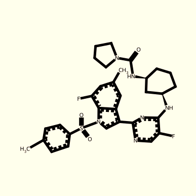 Cc1ccc(S(=O)(=O)n2cc(-c3ncc(F)c(N[C@@H]4CCC[C@H](NC(=O)N5CCCC5)C4)n3)c3cc(C)cc(F)c32)cc1